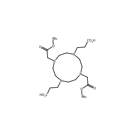 CC(C)(C)OC(=O)CN1CCN(CCC(=O)O)CCN(CC(=O)OC(C)(C)C)CCN(CCC(=O)O)CC1